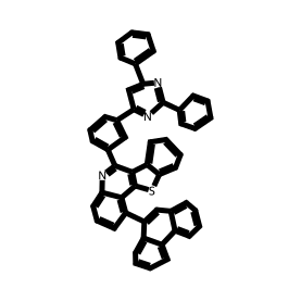 c1ccc(-c2cc(-c3cccc(-c4nc5cccc(-c6cc7ccccc7c7ccccc67)c5c5sc6ccccc6c45)c3)nc(-c3ccccc3)n2)cc1